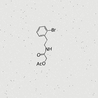 CC(=O)OCC(=O)NCCc1ccccc1Br